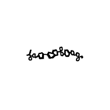 C=CC(=O)OCOc1ccc(OC(=O)c2ccc3cc(-c4ccc(COC(=O)C(=C)C)cc4)ccc3c2)cc1